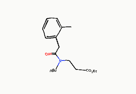 CCCCN(CCC(=O)OCC)C(=O)Cc1ccccc1C